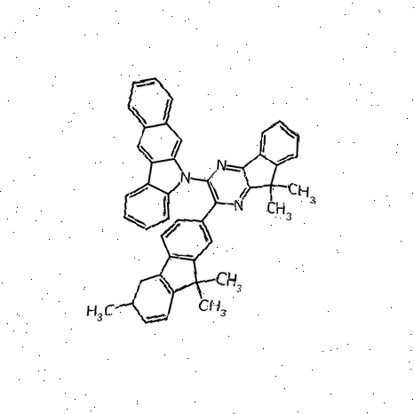 CC1C=CC2=C(C1)c1ccc(-c3nc4c(nc3-n3c5ccccc5c5cc6ccccc6cc53)-c3ccccc3C4(C)C)cc1C2(C)C